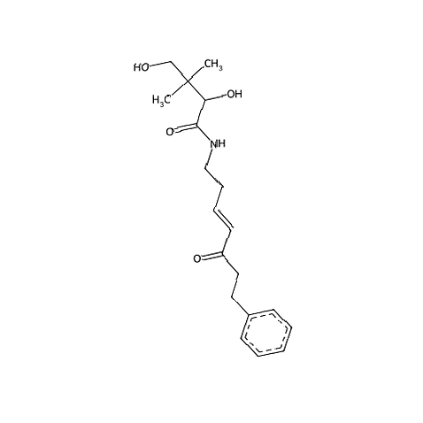 CC(C)(CO)C(O)C(=O)NCCC=CC(=O)CCc1ccccc1